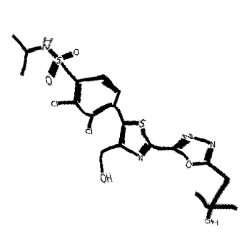 CC(C)NS(=O)(=O)c1ccc(-c2sc(-c3nnc(CC(C)(C)O)o3)nc2CO)c(Cl)c1Cl